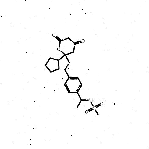 CC(NS(C)(=O)=O)c1ccc(CCC2(C3CCCC3)CC(=O)CC(=O)O2)cc1